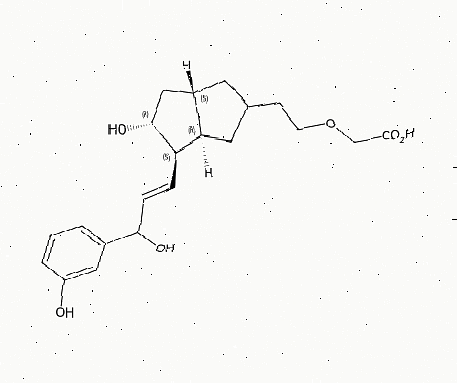 O=C(O)COCCC1C[C@H]2C[C@@H](O)[C@H](C=CC(O)c3cccc(O)c3)[C@@H]2C1